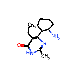 CCc1c(C2CCCCC2N)nc(C)[nH]c1=O